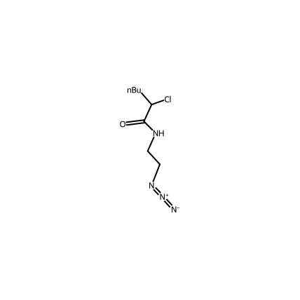 CCCCC(Cl)C(=O)NCCN=[N+]=[N-]